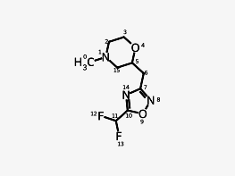 CN1CCOC(Cc2noc(C(F)F)n2)C1